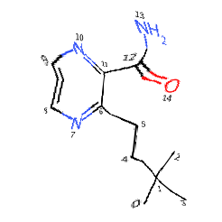 CC(C)(C)CCc1nccnc1C(N)=O